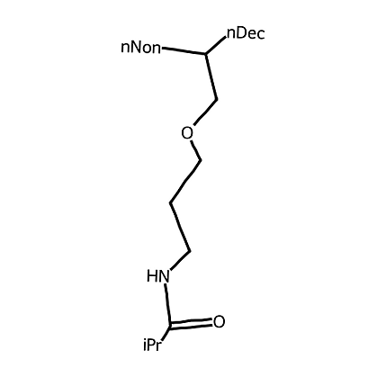 CCCCCCCCCCC(CCCCCCCCC)COCCCNC(=O)C(C)C